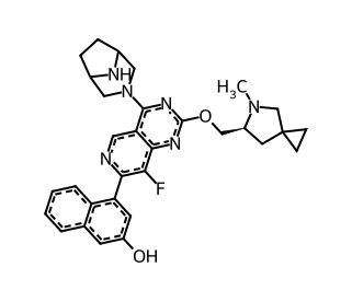 CN1CC2(CC2)C[C@H]1COc1nc(N2CC3CCC(C2)N3)c2cnc(-c3cc(O)cc4ccccc34)c(F)c2n1